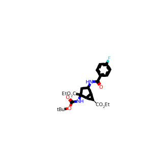 CCOC(=O)[C@H]1C2C(NC(=O)c3ccc(F)cc3)CC(NC(=O)OC(C)(C)C)(C(=O)OCC)C21